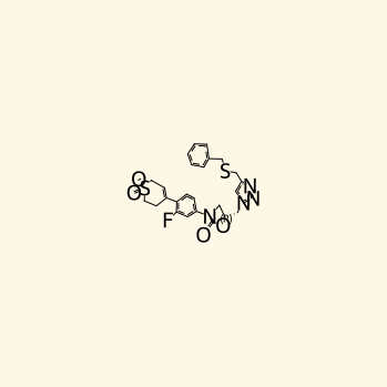 O=C1O[C@@H](Cn2cc(CSCc3ccccc3)nn2)CN1c1ccc(C2=CCS(=O)(=O)CC2)c(F)c1